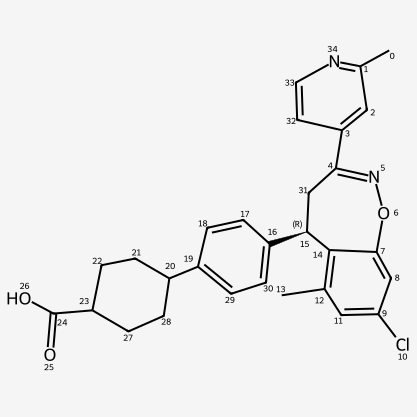 Cc1cc(C2=NOc3cc(Cl)cc(C)c3[C@@H](c3ccc(C4CCC(C(=O)O)CC4)cc3)C2)ccn1